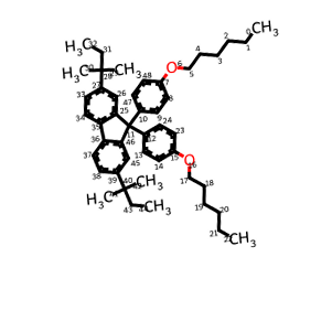 CCCCCCOc1ccc(C2(c3ccc(OCCCCCC)cc3)c3cc(C(C)(C)CC)ccc3-c3ccc(C(C)(C)CC)cc32)cc1